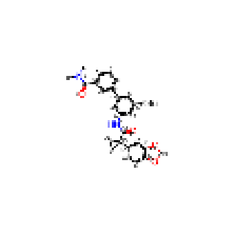 CN(C)C(=O)c1cccc(-c2cc(NC(=O)C3(c4ccc5c(c4)OCO5)CC3)cc(C(C)(C)C)c2)c1